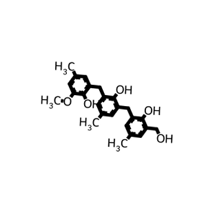 COc1cc(C)cc(Cc2cc(C)cc(Cc3cc(C)cc(CO)c3O)c2O)c1O